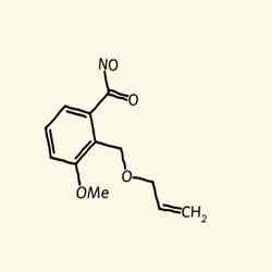 C=CCOCc1c(OC)cccc1C(=O)N=O